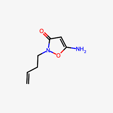 C=CCCn1oc(N)cc1=O